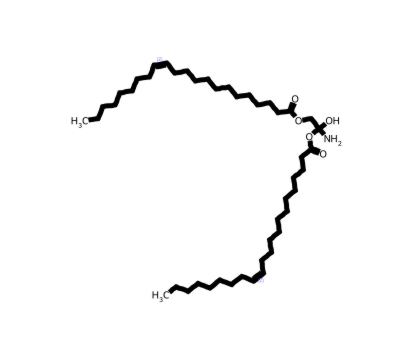 CCCCCCCC/C=C\CCCCCCCCCCCC(=O)OCC(N)(O)OC(=O)CCCCCCCCCCC/C=C\CCCCCCCC